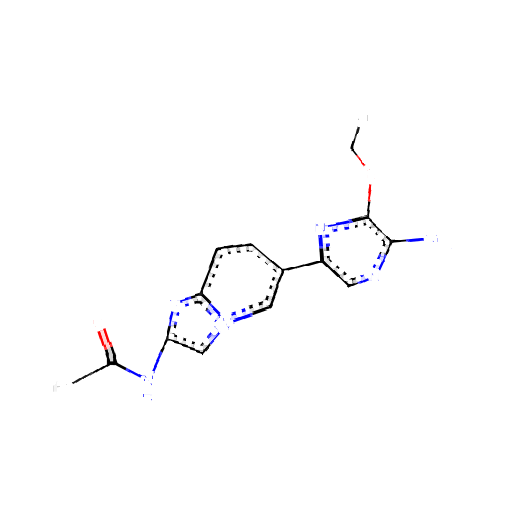 CC(C)C(=O)Nc1cn2cc(-c3cnc(N)c(OCC(F)(F)F)n3)ccc2n1